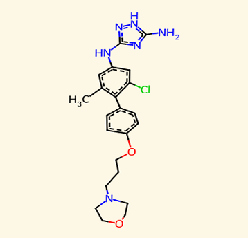 Cc1cc(Nc2n[nH]c(N)n2)cc(Cl)c1-c1ccc(OCCCN2CCOCC2)cc1